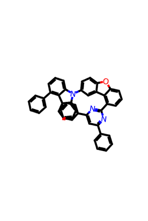 c1ccc(-c2cc(-c3ccccc3)nc(-c3cccc4oc5ccc(-n6c7ccccc7c7c(-c8ccccc8)cccc76)cc5c34)n2)cc1